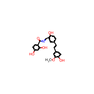 COc1cc(C=Cc2ccc(O)c(C=NC(=O)c3ccc(O)cc3O)c2)ccc1O